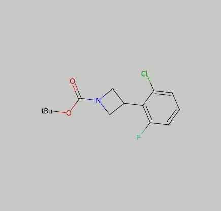 CC(C)(C)OC(=O)N1CC(c2c(F)cccc2Cl)C1